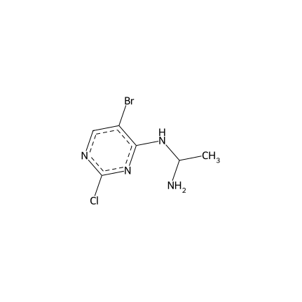 CC(N)Nc1nc(Cl)ncc1Br